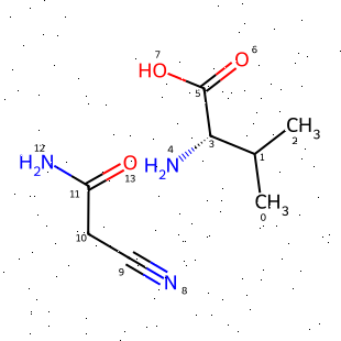 CC(C)[C@H](N)C(=O)O.N#CCC(N)=O